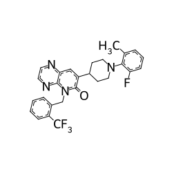 Cc1cccc(F)c1N1CCC(c2cc3nccnc3n(Cc3ccccc3C(F)(F)F)c2=O)CC1